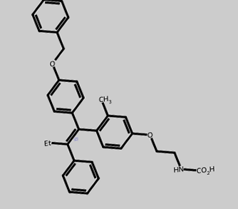 CC/C(=C(\c1ccc(OCc2ccccc2)cc1)c1ccc(OCCNC(=O)O)cc1C)c1ccccc1